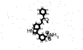 COC(/C=C/c1ccc2[nH]nc(-c3cccc(S(N)(=O)=O)c3)c2c1)c1ccccc1